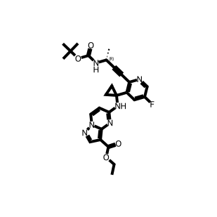 CCOC(=O)c1cnn2ccc(NC3(c4cc(F)cnc4C#C[C@@H](C)NC(=O)OC(C)(C)C)CC3)nc12